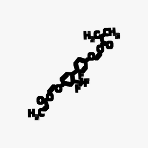 C=CC(=O)O/C=C\Oc1ccc(-c2ccc(O/C=C\OC(=O)C(=C)C)cc2)c(C(F)(F)F)c1